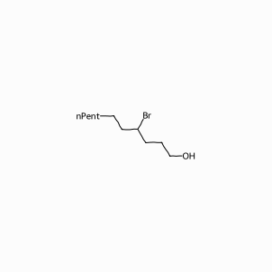 CCCCCCCC(Br)CCCO